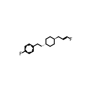 F/C=C/C[C@H]1CC[C@H](CCc2ccc(F)cc2)CC1